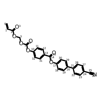 C=CC(=O)OCOC(=O)Oc1ccc(C(=O)Oc2ccc(-c3ccc(C#N)cc3)cc2)cc1